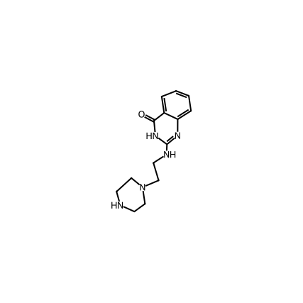 O=c1[nH]c(NCCN2CCNCC2)nc2ccccc12